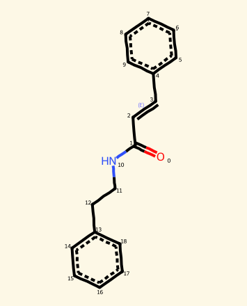 O=C(/C=C/c1c[c][c]cc1)NCCc1ccccc1